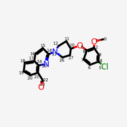 COc1cc(Cl)ccc1OC1CCN(c2ccc3cccc(C=O)c3n2)CC1